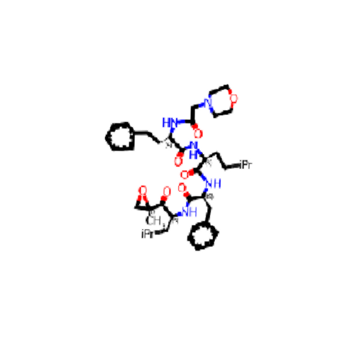 CC(C)CC[C@H](NC(=O)[C@H](CCc1ccccc1)NC(=O)CN1CCOCC1)C(=O)N[C@@H](Cc1ccccc1)C(=O)N[C@@H](CC(C)C)C(=O)[C@@]1(C)CO1